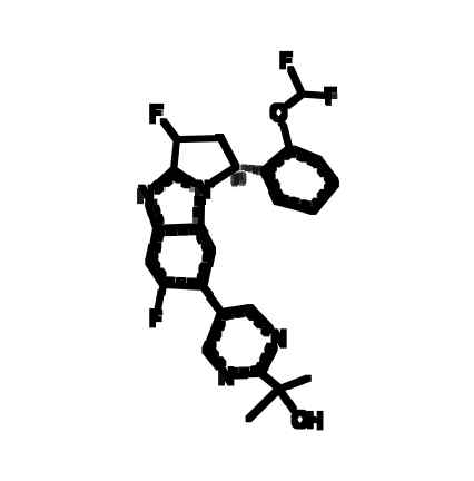 CC(C)(O)c1ncc(-c2cc3c(cc2F)nc2n3[C@@H](c3ccccc3OC(F)F)CC2F)cn1